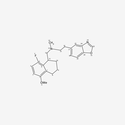 COc1ccc(F)c2c1CCCC2CN(C)CCc1ccc2ocnc2c1